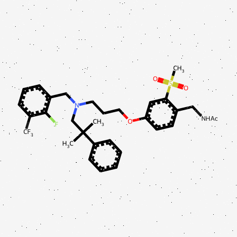 CC(=O)NCc1ccc(OCCCN(Cc2cccc(C(F)(F)F)c2F)CC(C)(C)c2ccccc2)cc1S(C)(=O)=O